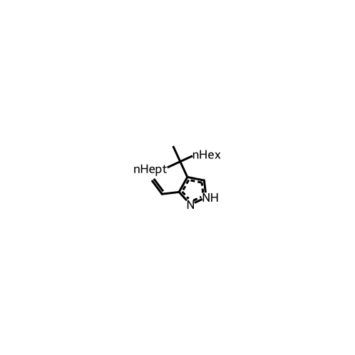 C=Cc1n[nH]cc1C(C)(CCCCCC)CCCCCCC